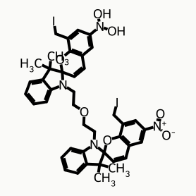 CC1(C)c2ccccc2N(CCOCCN2c3ccccc3C(C)(C)C23C=Cc2cc([N+](=O)[O-])cc(CI)c2O3)C12C=Cc1cc(N(O)O)cc(CI)c1O2